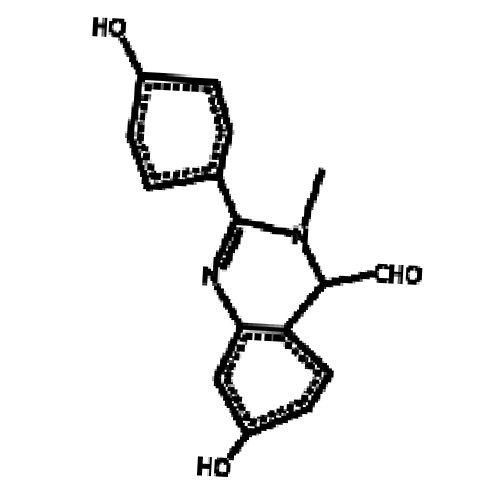 CN1C(c2ccc(O)cc2)=Nc2cc(O)ccc2C1C=O